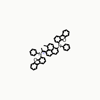 C/C(=c1/ccc2ccc(N(c3ccccc3)c3cccc4c3oc3ccccc34)c3ccc(C)c1c23)N(c1ccccc1)c1cccc2c1oc1ccccc12